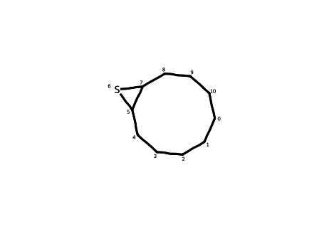 C1CCCCC2SC2CCC1